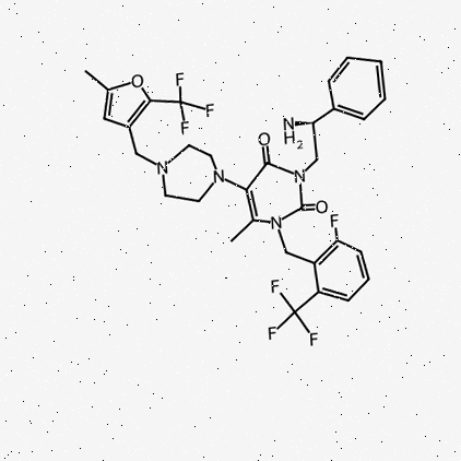 Cc1cc(CN2CCN(c3c(C)n(Cc4c(F)cccc4C(F)(F)F)c(=O)n(C[C@@H](N)c4ccccc4)c3=O)CC2)c(C(F)(F)F)o1